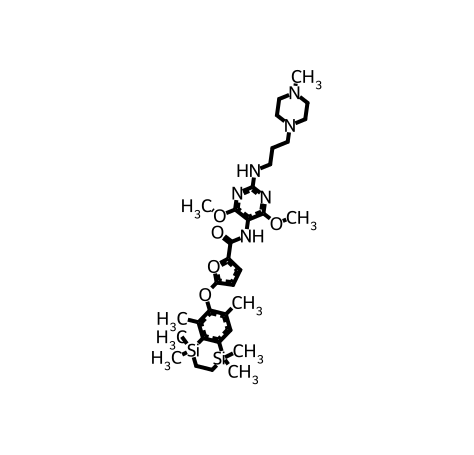 COc1nc(NCCCN2CCN(C)CC2)nc(OC)c1NC(=O)c1ccc(Oc2c(C)cc3c(c2C)[Si](C)(C)CC[Si]3(C)C)o1